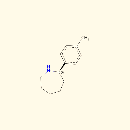 Cc1ccc([C@H]2CCCCCN2)cc1